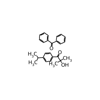 CC(C)c1ccc(C(=O)C(C)(C)O)cc1.O=C(c1ccccc1)c1ccccc1